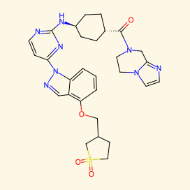 O=C([C@H]1CC[C@H](Nc2nccc(-n3ncc4c(OCC5CCS(=O)(=O)C5)cccc43)n2)CC1)N1CCn2ccnc2C1